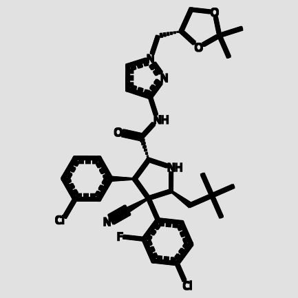 CC(C)(C)C[C@@H]1N[C@@H](C(=O)Nc2ccn(C[C@@H]3COC(C)(C)O3)n2)[C@H](c2cccc(Cl)c2)[C@@]1(C#N)c1ccc(Cl)cc1F